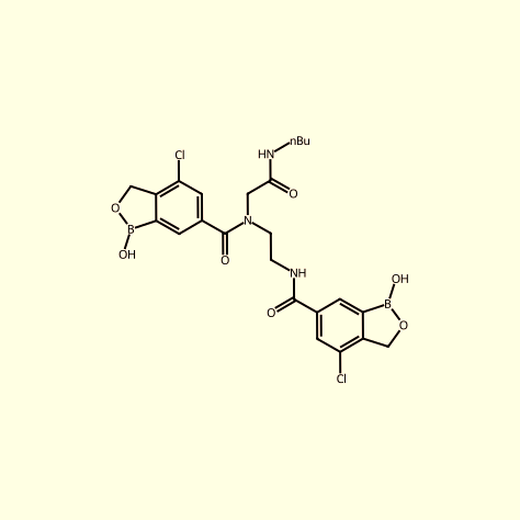 CCCCNC(=O)CN(CCNC(=O)c1cc(Cl)c2c(c1)B(O)OC2)C(=O)c1cc(Cl)c2c(c1)B(O)OC2